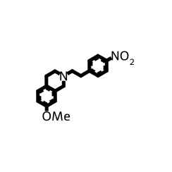 COc1ccc2c(c1)CN(CCc1ccc([N+](=O)[O-])cc1)CC2